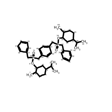 CC(C)C1CCC(C)C(OP(=O)(Cc2ccccc2)Cc2ccc(CP(=O)(Cc3ccccc3)OC3CC(C(C)C)CCC3C)cc2)C1